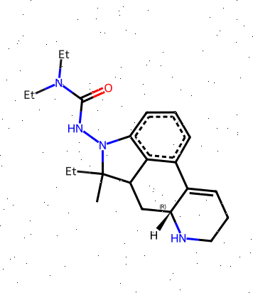 CCN(CC)C(=O)NN1c2cccc3c2C(C[C@H]2NCCC=C32)C1(C)CC